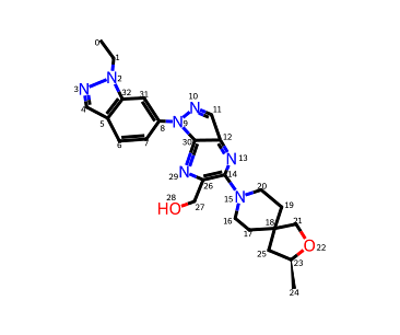 CCn1ncc2ccc(-n3ncc4nc(N5CCC6(CC5)CO[C@@H](C)C6)c(CO)nc43)cc21